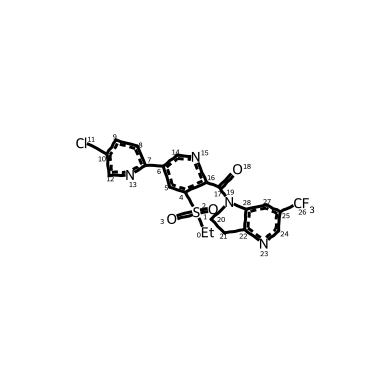 CCS(=O)(=O)c1cc(-c2ccc(Cl)cn2)cnc1C(=O)N1CCc2ncc(C(F)(F)F)cc21